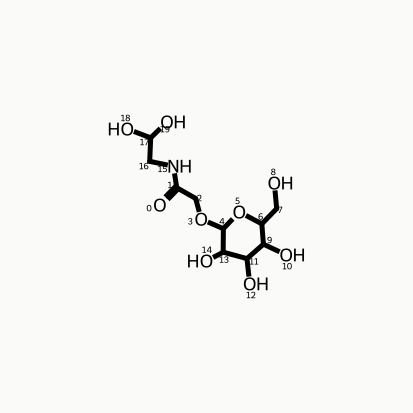 O=C(COC1OC(CO)C(O)C(O)C1O)NCC(O)O